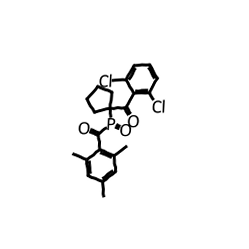 Cc1cc(C)c(C(=O)[P](=O)C2(C(=O)c3c(Cl)cccc3Cl)CCCC2)c(C)c1